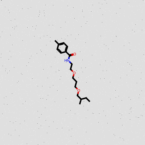 CCC(C)COCCCOCCNC(=O)c1ccc(C)cc1